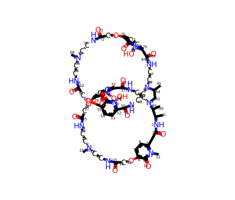 CC1NC(=O)c2ccc(c(=O)n2C)OCC(=O)NCCN(C)CCNC(=O)COc2ccc(n(O)c2=O)C(=O)NCCN(CC(C)N2CCNC(=O)c3ccc(c(=O)n3O)OCC(=O)NCCN(C)CCNC(=O)COc3ccc(n(O)c3=O)C(=O)NCC2)C1C